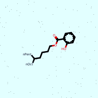 CCCCCCCCC(CCCCC)CCCCOC(=O)c1ccccc1O